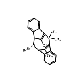 CC1=C2c3ccccc3[CH]1[Zr+2][CH]1C(C)=C(c3ccccc31)[Si]2(C)C.[Br-].[Br-]